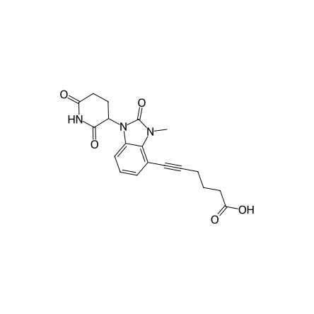 Cn1c(=O)n(C2CCC(=O)NC2=O)c2cccc(C#CCCCC(=O)O)c21